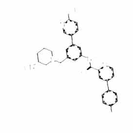 Cc1ccc(-c2cc(CN3CCC[C@H](N)C3)cc(NC(=O)c3cc(-c4ccc(F)cc4)ccn3)c2)cn1